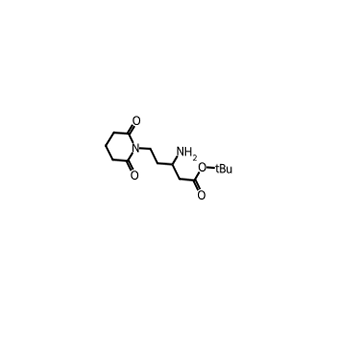 CC(C)(C)OC(=O)CC(N)CCN1C(=O)CCCC1=O